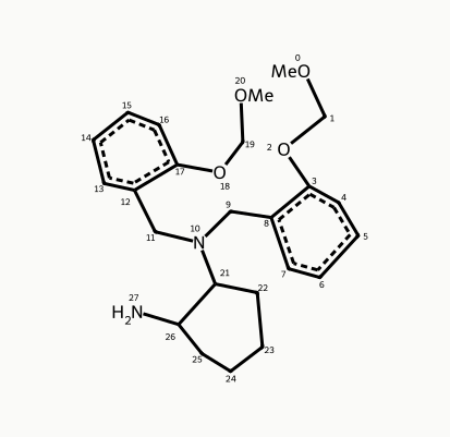 COCOc1ccccc1CN(Cc1ccccc1OCOC)C1CCCCC1N